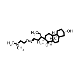 CC[C@H](C/C=N/OCCN(C)C)[C@@]1(C)CC[C@H]2[C@@H](CCC3C[C@@H](O)CC[C@@]32C)C1=O